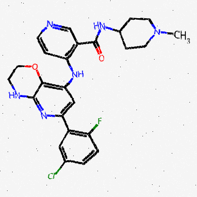 CN1CCC(NC(=O)c2cnccc2Nc2cc(-c3cc(Cl)ccc3F)nc3c2OCCN3)CC1